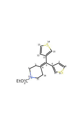 CCOC(=O)N1CCC(=C(c2ccsc2)c2ccsc2)CC1